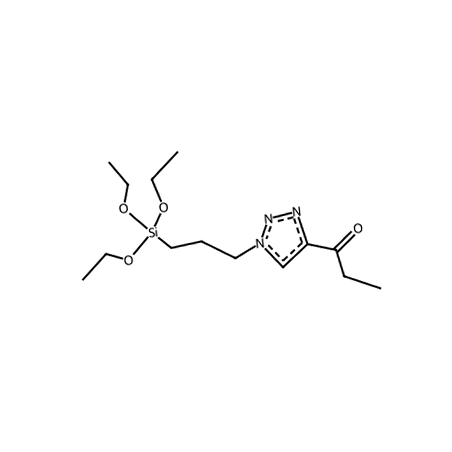 CCO[Si](CCCn1cc(C(=O)CC)nn1)(OCC)OCC